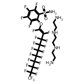 NCCNCCNCCN.NS(=O)(=O)c1c(F)c(F)c(F)c(F)c1OC(F)=C(F)C(F)(F)C(F)(F)C(F)(F)C(F)(F)C(F)(F)C(F)(F)C(F)(F)C(F)(F)F